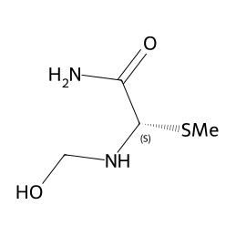 CS[C@H](NCO)C(N)=O